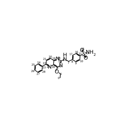 CCOc1nc(NCc2ccc(S(N)(=O)=O)cc2)nc2ccc(-c3ccccc3)nc12